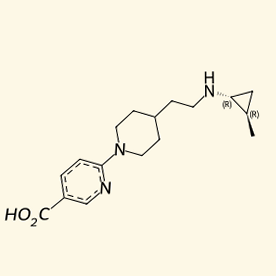 C[C@@H]1C[C@H]1NCCC1CCN(c2ccc(C(=O)O)cn2)CC1